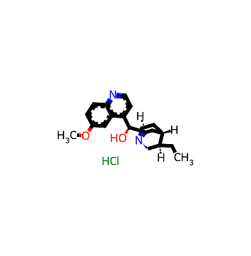 CC[C@H]1C[N@]2CC[C@H]1C[C@@H]2[C@@H](O)c1ccnc2ccc(OC)cc12.Cl